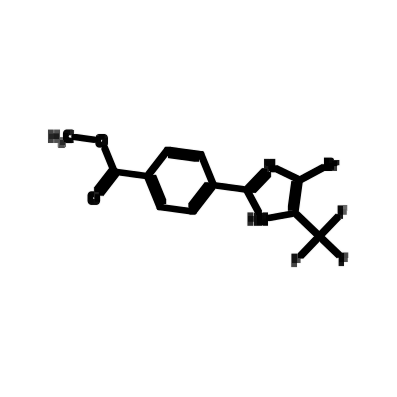 COC(=O)c1ccc(-c2nc(Br)c(C(F)(F)F)[nH]2)cc1